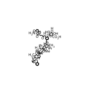 CC[C@H](C)[C@@H](C(CC(=O)N1CCC[C@H]1[C@H](OC)[C@@H](C)C(=O)N[C@@H](Cc1ccccc1)c1nccs1)OC)N(C)C(=O)[C@@H](NC(=O)[C@H](C(C)C)N(C)C(=O)OCc1ccc(O[C@@H]2O[C@H](C(=O)O)[C@@H](O)[C@H](O)[C@H]2O)c(NC(=O)CCNC(=O)[C@H](CN)N2C(=O)C=CC2=O)c1)C(C)C